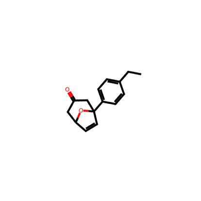 CCc1ccc(C23C=CC(CC(=O)C2)O3)cc1